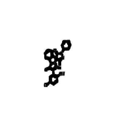 CC1=NN(c2ccccc2)C(=O)C12c1ccccc1-n1c(=O)c(-c3cc(Cl)ccc3O)c(C)n12